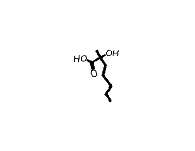 CCCCCC(C)(O)C(=O)O